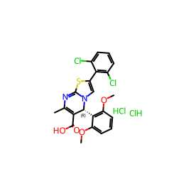 COc1cccc(OC)c1[C@@H]1C(C(=O)O)=C(C)N=C2SC(c3c(Cl)cccc3Cl)=CN21.Cl.Cl